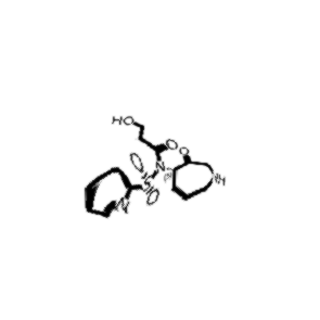 O=C1CNCCC[C@@H]1N(C(=O)[CH]CO)S(=O)(=O)c1ccccn1